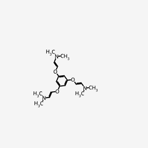 CN(C)C=COc1cc(OC=CN(C)C)cc(OC=CN(C)C)c1